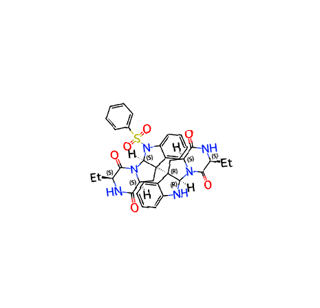 CC[C@@H]1NC(=O)[C@@H]2C[C@]3(C45C[C@H]6C(=O)N[C@@H](CC)C(=O)N6[C@H]4N(S(=O)(=O)c4ccccc4)c4ccccc45)c4ccccc4N[C@@H]3N2C1=O